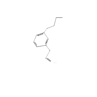 C=CCc1cccc(CCCO)c1